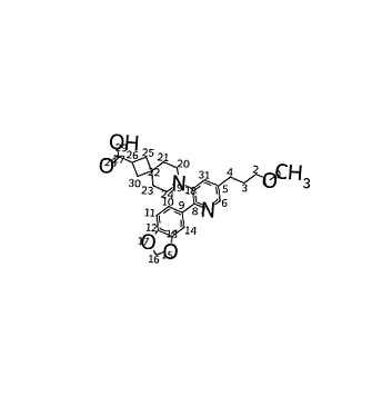 COCCCc1cnc(-c2ccc3c(c2)OCO3)c(N2CCC3(CC2)CC(C(=O)O)C3)c1